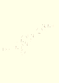 Nc1nc2ccc(CNC(=O)c3cccn4c(C(=O)NC[C@H]5CCCCC[C@H]5O)c(-c5ccsc5)nc34)cc2s1